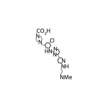 CNCCCNc1ccc(-c2ccnc(Nc3cc(Cl)cc(CN4CCN(CC(=O)O)CC4)c3)n2)cn1